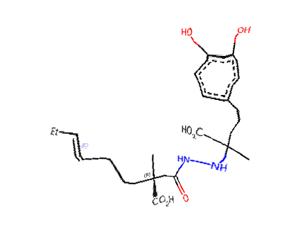 CC/C=C/CC[C@@](C)(C(=O)O)C(=O)NNC(C)(Cc1ccc(O)c(O)c1)C(=O)O